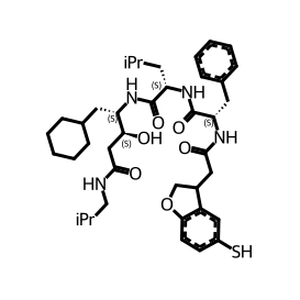 CC(C)CNC(=O)C[C@H](O)[C@H](CC1CCCCC1)NC(=O)[C@H](CC(C)C)NC(=O)[C@H](Cc1ccccc1)NC(=O)CC1COc2ccc(S)cc21